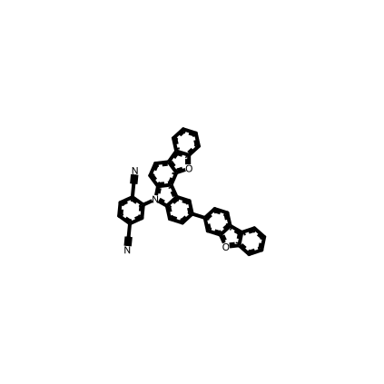 N#Cc1ccc(C#N)c(-n2c3ccc(-c4ccc5c(c4)oc4ccccc45)cc3c3c4oc5ccccc5c4ccc32)c1